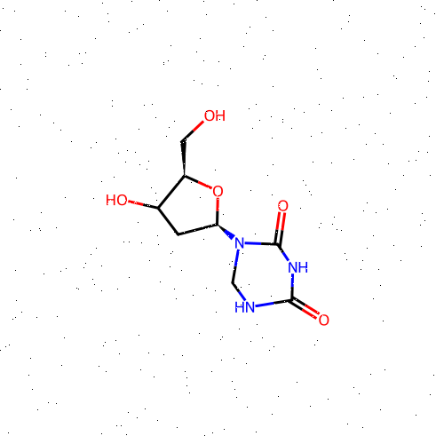 O=C1NCN([C@H]2CC(O)[C@@H](CO)O2)C(=O)N1